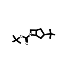 CC(C)(C)OC(=O)N1CC2CC(C(C)(C)C)CC21